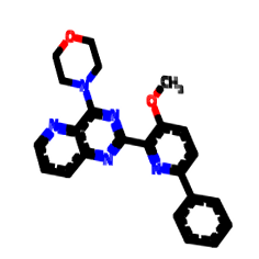 COc1ccc(-c2ccccc2)nc1-c1nc(N2CCOCC2)c2ncccc2n1